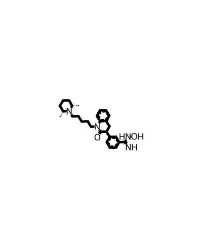 C[C@@H]1CCC[C@H](C)N1CCCCCN1C(=O)C(c2cccc(C(=N)NO)c2)Cc2ccccc21